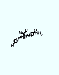 N#CC(C#N)=C1N(CCCN2CCC(C#N)CC2)CCN1CCN1CCC(C(N)=O)CC1